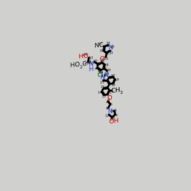 Cc1c(OCCCN2CC[C@@H](O)C2)cccc1-c1cccc2c1cnn2Cc1cc(OCc2cncc(C#N)c2)c(CN[C@@H](CO)C(=O)O)cc1Cl